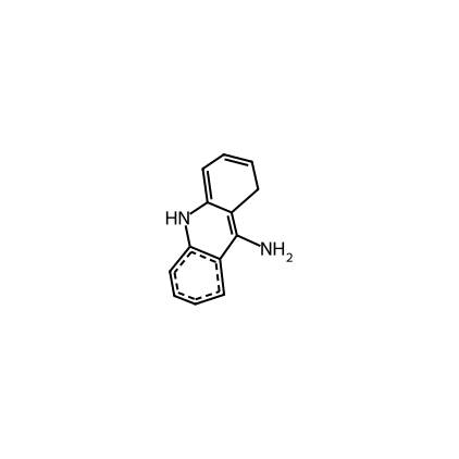 NC1=C2CC=CC=C2Nc2ccccc21